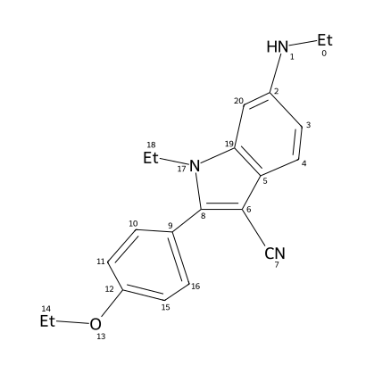 CCNc1ccc2c(C#N)c(-c3ccc(OCC)cc3)n(CC)c2c1